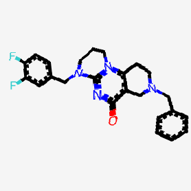 O=c1nc2n(c3c1CN(Cc1ccccc1)CC3)CCCN2Cc1ccc(F)c(F)c1